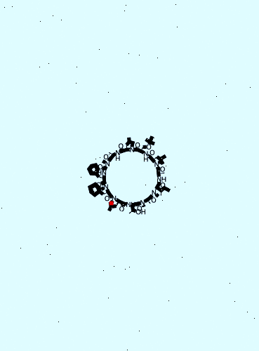 CC[C@H](C)[C@H]1C(=O)N[C@@H](C)C(=O)N(C)[C@@H](CC(C)C)C(=O)N[C@@H](COC(C)(C)C)C(=O)N(C)[C@@H](CC(C)C)C(=O)N[C@@H](C)C(=O)N(C)C(=O)N[C@@H](Cc2ccccc2)C(=O)N(C)[C@@H](Cc2ccccc2)C(=O)N(C)[C@H](CC(C)C)C(=O)NC([C@@H](C)O)C(=O)N(C)[C@@H](C)C(=O)N1C